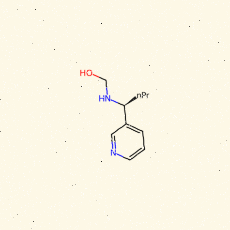 CCC[C@H](NCO)c1cccnc1